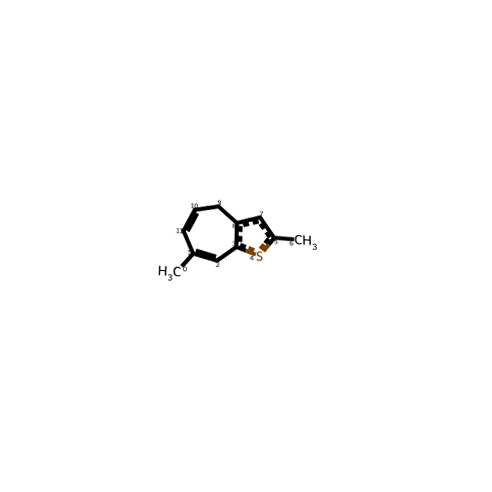 CC1=Cc2sc(C)cc2CC=C1